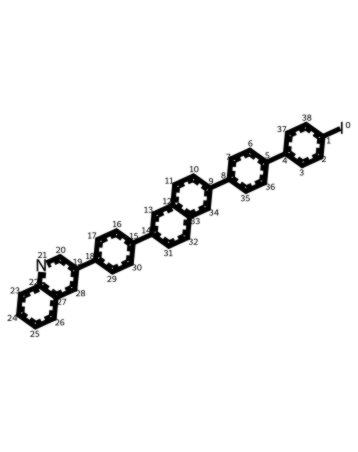 Ic1ccc(-c2ccc(-c3ccc4cc(-c5ccc(-c6cnc7ccccc7c6)cc5)ccc4c3)cc2)cc1